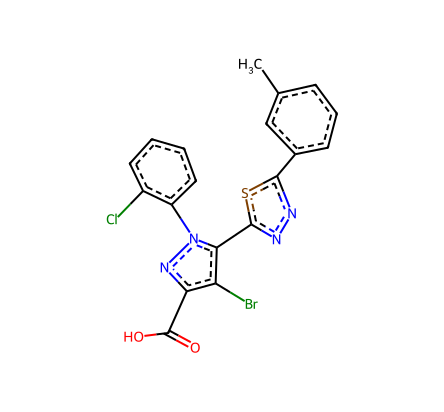 Cc1cccc(-c2nnc(-c3c(Br)c(C(=O)O)nn3-c3ccccc3Cl)s2)c1